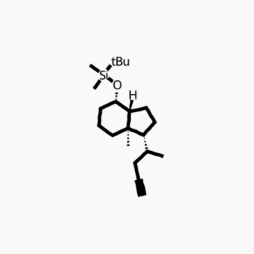 C#CCC(C)[C@H]1CC[C@H]2[C@@H](O[Si](C)(C)C(C)(C)C)CCC[C@]12C